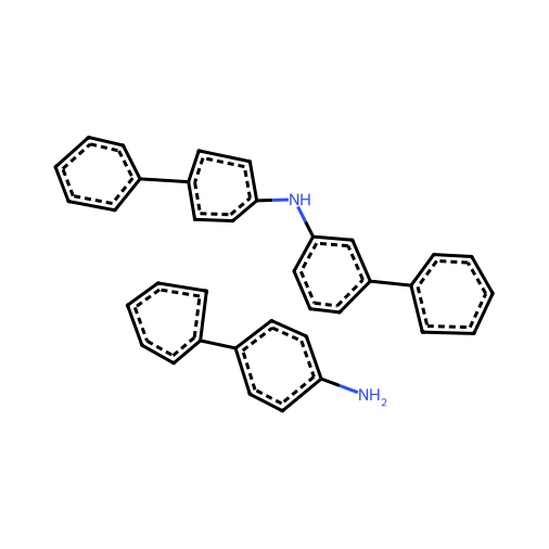 Nc1ccc(-c2ccccc2)cc1.c1ccc(-c2ccc(Nc3cccc(-c4ccccc4)c3)cc2)cc1